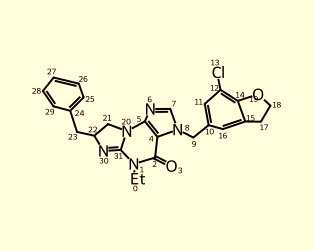 CCN1C(=O)c2c(ncn2Cc2cc(Cl)c3c(c2)CCO3)N2CC(Cc3ccccc3)N=C12